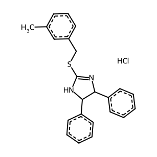 Cc1cccc(CSC2=NC(c3ccccc3)C(c3ccccc3)N2)c1.Cl